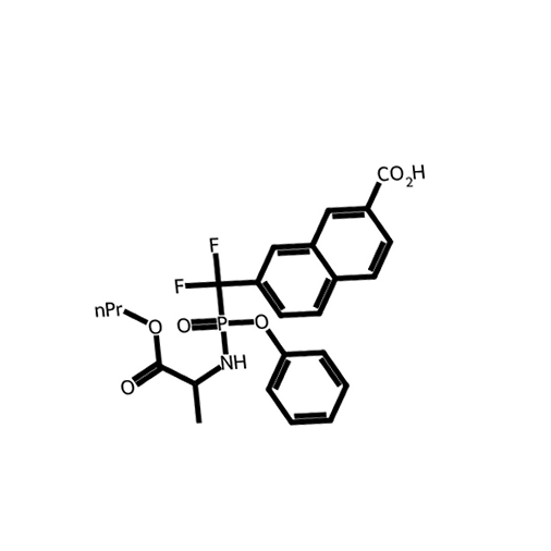 CCCOC(=O)C(C)NP(=O)(Oc1ccccc1)C(F)(F)c1ccc2ccc(C(=O)O)cc2c1